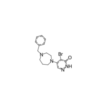 O=c1[nH]ncc(N2CCCN(Cc3ccccc3)CC2)c1Br